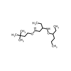 CCCC(CC)ON[C](CC)CNOCCC(C)(C)C